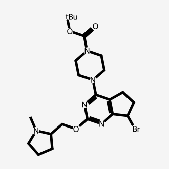 CN1CCCC1COc1nc2c(c(N3CCN(C(=O)OC(C)(C)C)CC3)n1)CCC2Br